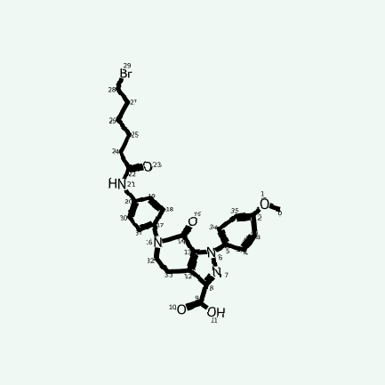 COc1ccc(-n2nc(C(=O)O)c3c2C(=O)N(c2ccc(NC(=O)CCCCCBr)cc2)CC3)cc1